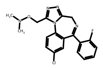 CN(C)OCc1nnc2n1-c1ccc(Cl)cc1C(c1ccccc1F)=NC2